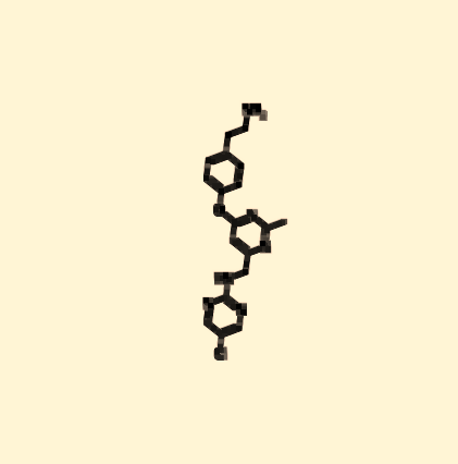 Cc1nc(CNc2ncc(Cl)cn2)cc(Oc2ccc(CCN)cc2)n1